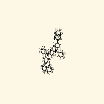 c1ccc(N(c2ccc(-c3cn4ccccc4n3)cc2)c2ccc(N(c3ccccc3)c3ccc(-c4cccc5ccccc45)cc3)cc2)cc1